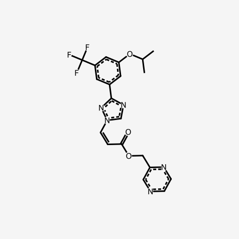 CC(C)Oc1cc(-c2ncn(/C=C\C(=O)OCc3cnccn3)n2)cc(C(F)(F)F)c1